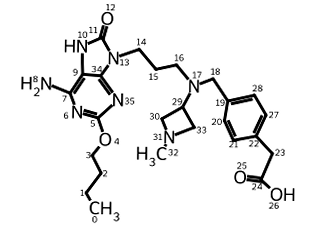 CCCCOc1nc(N)c2[nH]c(=O)n(CCCN(Cc3ccc(CC(=O)O)cc3)C3CN(C)C3)c2n1